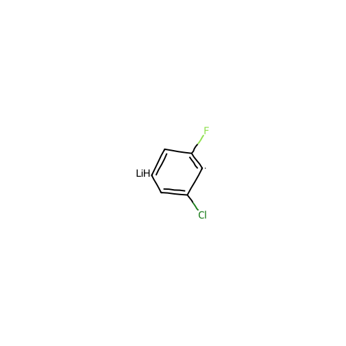 Fc1[c]c(Cl)ccc1.[LiH]